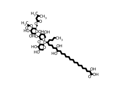 CCCCC(CCC[C@H](O)C(O)CCCCCCCCCCCCCC[C@H](O)C(=O)O)O[C@H]1OC[C@H](O)[C@@H](O)[C@@H]1O[C@H]1OC[C@H](O)[C@@H](O)[C@@H]1O[C@H]1O[C@@H](COC(=O)CC(C)C)[C@H](OC(C)=O)[C@@H](O)[C@@H]1O